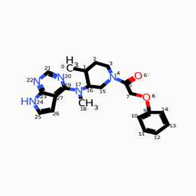 CC1CCN(C(=O)COc2ccccc2)CC1N(C)c1ncnc2[nH]ccc12